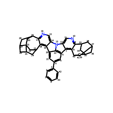 c1ccc(-c2cc3c4c5c(ncc4n4c6cnc7c(c6c(c2)c34)C2CC3CC4CC7CC43C2)C2CC3CC(C2)CC5C3)cc1